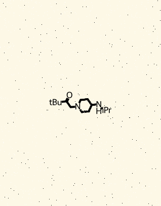 CC(C)NC1CCN(CC(=O)C(C)(C)C)CC1